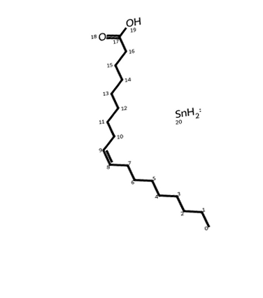 CCCCCCCC/C=C\CCCCCCCC(=O)O.[SnH2]